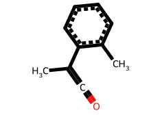 CC(=C=O)c1ccccc1C